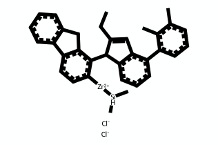 CCC1=Cc2c(-c3cccc(C)c3C)cccc2C1c1[c]([Zr+2][SiH](C)C)ccc2c1Cc1ccccc1-2.[Cl-].[Cl-]